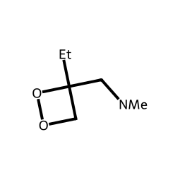 CCC1(CNC)COO1